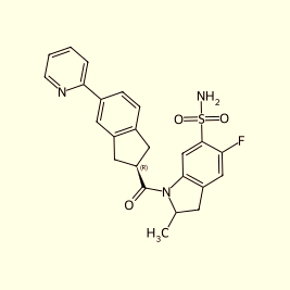 CC1Cc2cc(F)c(S(N)(=O)=O)cc2N1C(=O)[C@@H]1Cc2ccc(-c3ccccn3)cc2C1